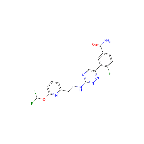 NC(=O)c1ccc(F)c(-c2cnc(NCCc3cccc(OC(F)F)n3)nn2)c1